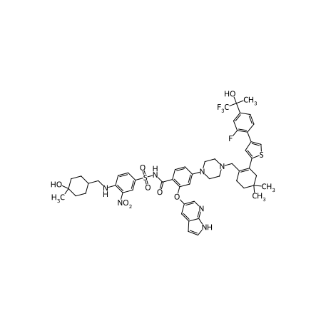 CC1(C)CCC(CN2CCN(c3ccc(C(=O)NS(=O)(=O)c4ccc(NCC5CCC(C)(O)CC5)c([N+](=O)[O-])c4)c(Oc4cnc5[nH]ccc5c4)c3)CC2)=C(c2cc(-c3ccc(C(C)(O)C(F)(F)F)cc3F)cs2)C1